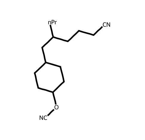 CCCC(CCCC#N)CC1CCC(OC#N)CC1